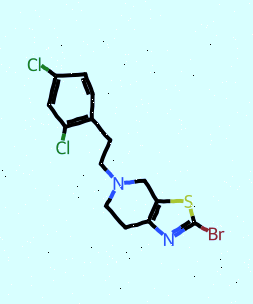 Clc1ccc(CCN2CCc3nc(Br)sc3C2)c(Cl)c1